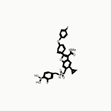 CNC(=O)c1c(-c2ccc(Oc3ccc(F)cc3)cc2)oc2cc(CS(=O)(=O)NCc3ccc(B(O)O)c(F)c3)c(C3CC3)cc12